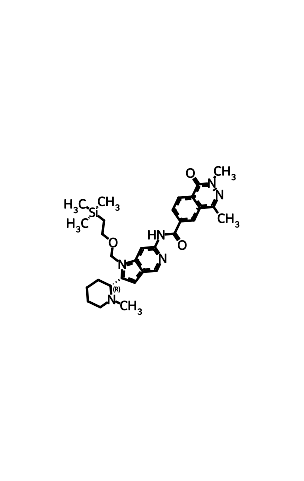 Cc1nn(C)c(=O)c2ccc(C(=O)Nc3cc4c(cn3)cc([C@H]3CCCCN3C)n4COCC[Si](C)(C)C)cc12